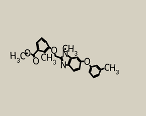 COC(=O)c1cccc(OCc2nc3ccc(Oc4cccc(C)c4)cc3n2C)c1C